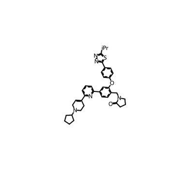 CC(C)c1nnc(-c2ccc(Oc3cc(-c4cccc(C5=CCN(C6CCCC6)CC5)n4)ccc3CN3CCCC3=O)cc2)s1